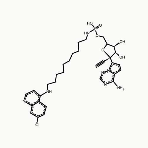 N#C[C@@]1(c2ccc3c(N)ncnn23)OC(COP(=O)(O)NCCCCCCCCCCNc2ccnc3cc(Cl)ccc23)[C@@H](O)[C@H]1O